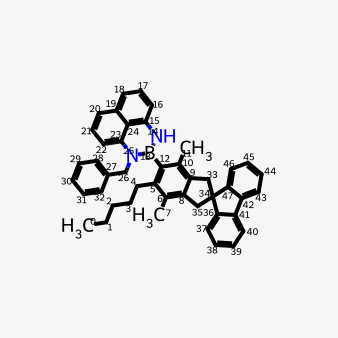 CCCCCc1c(C)c2c(c(C)c1B1Nc3cccc4cccc(c34)N1Cc1ccccc1)CC1(C2)c2ccccc2-c2ccccc21